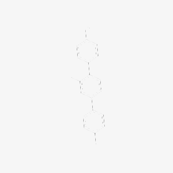 CCCc1ccc(-c2ccc(-c3ccc(C#N)cc3)c(F)c2)cc1